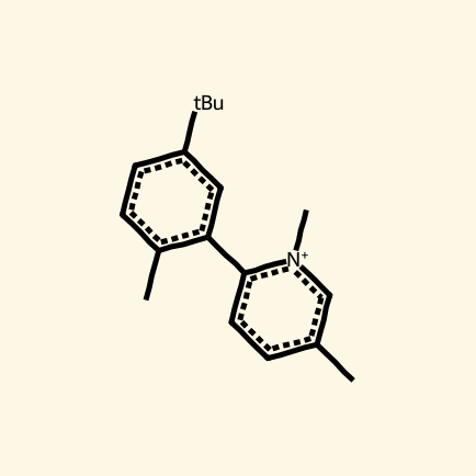 Cc1ccc(-c2cc(C(C)(C)C)ccc2C)[n+](C)c1